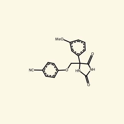 COc1cccc(C2(COc3ccc(C#N)cc3)NC(=O)NC2=O)c1